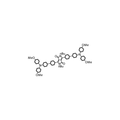 CCCCN1C(=O)C2=C(c3ccc(-c4ccc(N(c5ccc(OC)cc5)c5ccc(OC)cc5)cc4)cc3)N(CCCC)C(=O)C2=C1c1ccc(-c2ccc(N(c3ccc(OC)cc3)c3ccc(OC)cc3)cc2)cc1